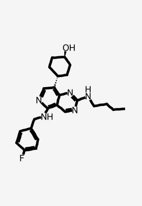 CCCCNc1ncc2c(NCc3ccc(F)cc3)ncc([C@H]3CC[C@H](O)CC3)c2n1